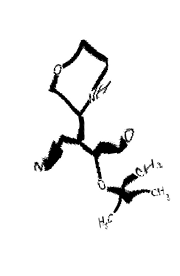 CC(C)(C)OC(=O)C(C#N)=C1COCCN1